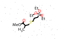 CCO[Si](CCCSCC(C)C(=O)OC)(OCC)OCC